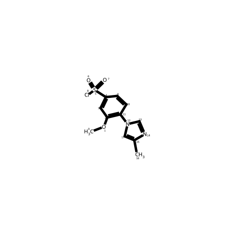 COc1cc(S(=O)(=O)Cl)ccc1-n1cnc(C)c1